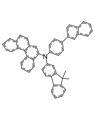 CC1(C)c2ccccc2-c2ccc(N(c3ccc(-c4ccc5ccccc5c4)cc3)c3cc4ccc5ccccc5c4c4ccccc34)cc21